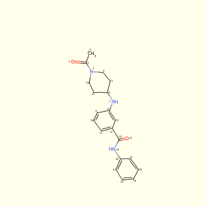 CC(=O)N1CCC(Nc2cccc(C(=O)Nc3ccccc3)c2)CC1